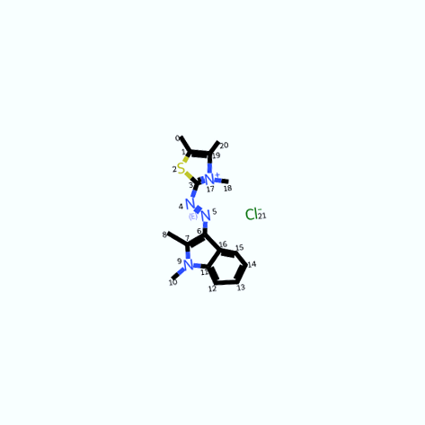 Cc1sc(/N=N/c2c(C)n(C)c3ccccc23)[n+](C)c1C.[Cl-]